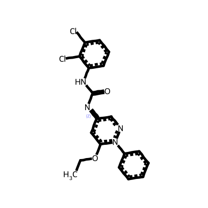 CCOc1c/c(=N/C(=O)Nc2cccc(Cl)c2Cl)cnn1-c1ccccc1